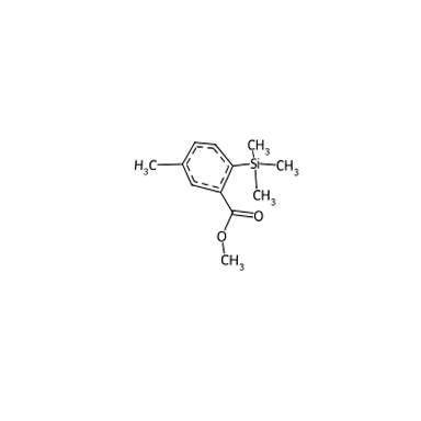 COC(=O)c1cc(C)ccc1[Si](C)(C)C